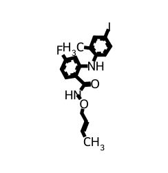 C/C=C/CONC(=O)c1ccc(F)cc1Nc1ccc(I)cc1C